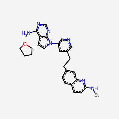 CCNc1ccc2ccc(CCc3cncc(-n4cc([C@@H]5CCCO5)c5c(N)ncnc54)c3)cc2n1